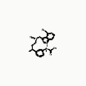 CCN(CCC(C)c1cccc(NC(=O)C(C)C)c1)Cc1c[nH]c2cccc(Br)c12